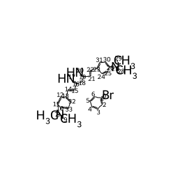 Brc1ccccc1.CN(C)c1ccc(C=CC(=N)CC(=N)C=Cc2ccc(N(C)C)cc2)cc1